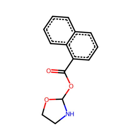 O=C(OC1NCCO1)c1cccc2ccccc12